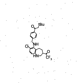 CC(C)(C)CC(=O)c1ccc(CNc2c(Cl)ccc3c2CCC(C(=O)C(F)(F)F)CN3)cc1